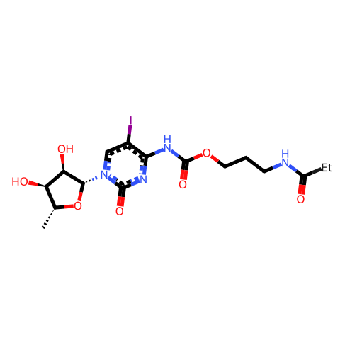 CCC(=O)NCCCOC(=O)Nc1nc(=O)n([C@@H]2O[C@H](C)[C@@H](O)[C@H]2O)cc1I